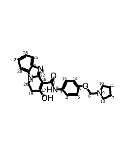 O=C(Nc1ccc(OCN2CCCC2)cc1)C1=C(O)CCn2c1nc1ccccc12